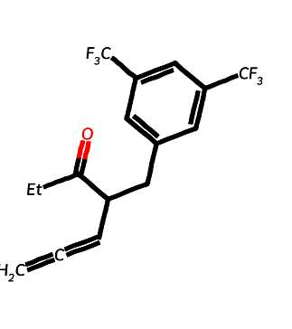 C=C=CC(Cc1cc(C(F)(F)F)cc(C(F)(F)F)c1)C(=O)CC